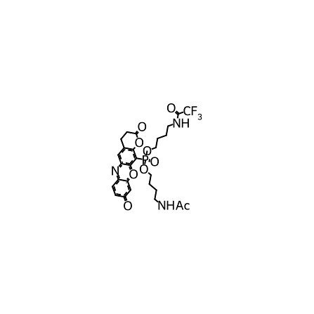 CC(=O)NCCCCOP(=O)(OCCCCNC(=O)C(F)(F)F)c1c2c(cc3nc4ccc(=O)cc-4oc13)CCC(=O)O2